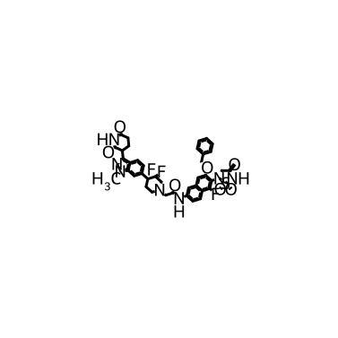 Cn1nc(C2CCC(=O)NC2=O)c2ccc(C3CCN(CC(=O)Nc4ccc5c(F)c(N6CC(=O)NS6(=O)=O)c(OCc6ccccc6)cc5c4)CC3(F)F)cc21